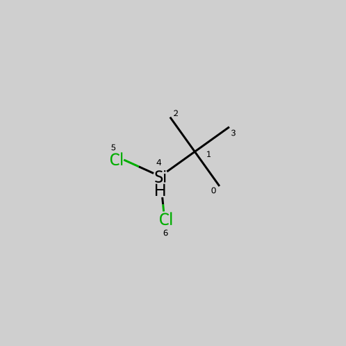 CC(C)(C)[SiH](Cl)Cl